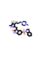 CCOC(=O)c1c(C)[nH]c(/C=C2\C(=O)Nc3ccc(S(=O)(=O)N4CCc5ccccc54)cc32)c1CCCN1CCN(C)CC1